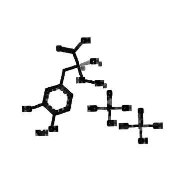 C[C@@](Cc1ccc(O)c(O)c1)(NN)C(=O)O.O=P(O)(O)O.O=P(O)(O)O.[NaH]